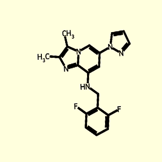 Cc1nc2c(NCc3c(F)cccc3F)cc(-n3cccn3)cn2c1C